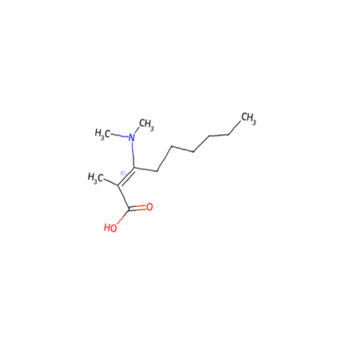 CCCCCC/C(=C(/C)C(=O)O)N(C)C